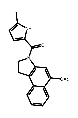 CC(=O)Oc1cc2c(c3ccccc13)CCN2C(=O)c1ccc(C)[nH]1